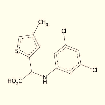 Cc1csc(C(Nc2cc(Cl)cc(Cl)c2)C(=O)O)c1